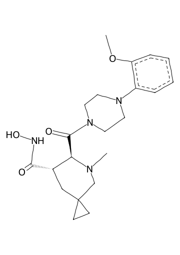 COc1ccccc1N1CCN(C(=O)[C@@H]2[C@@H](C(=O)NO)CC3(CC3)CN2C)CC1